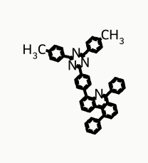 Cc1ccc(-c2nc(-c3ccc(C)cc3)nc(-c3ccc(-c4cccc5c4nc(-c4ccccc4)c4cccc(-c6ccccc6)c45)cc3)n2)cc1